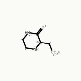 O=C(O)C[C@H]1NCCNC1=O